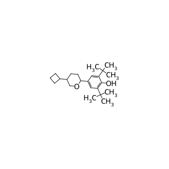 CC(C)(C)c1cc(C2CCC(C3CCC3)CO2)cc(C(C)(C)C)c1O